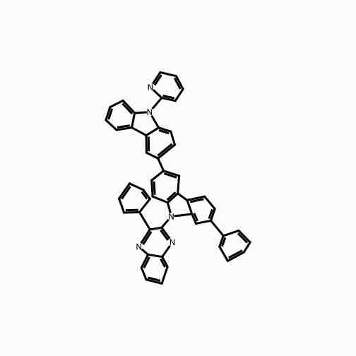 c1ccc(-c2ccc3c4cc(-c5ccc6c(c5)c5ccccc5n6-c5ccccn5)ccc4n(-c4nc5ccccc5nc4-c4ccccc4)c3c2)cc1